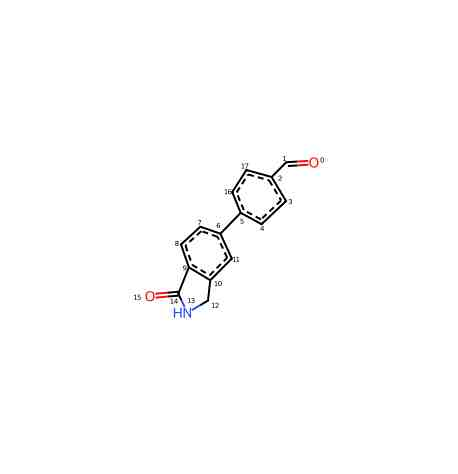 O=Cc1ccc(-c2ccc3c(c2)CNC3=O)cc1